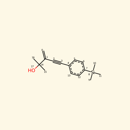 C=C(C#Cc1ccc([Si](C)(C)C)cc1)C(C)(C)O